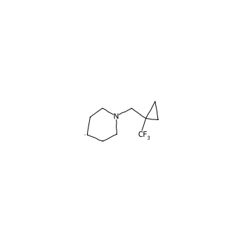 FC(F)(F)C1(CN2CC[CH]CC2)CC1